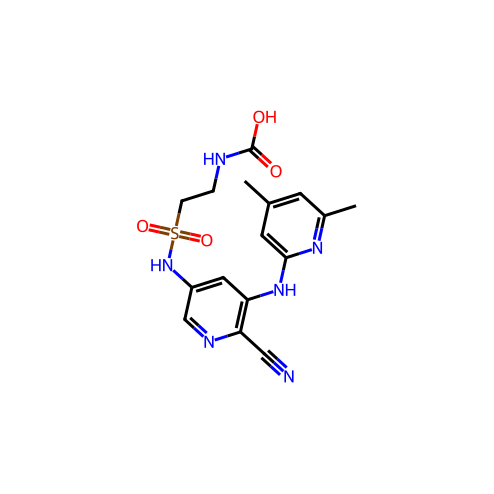 Cc1cc(C)nc(Nc2cc(NS(=O)(=O)CCNC(=O)O)cnc2C#N)c1